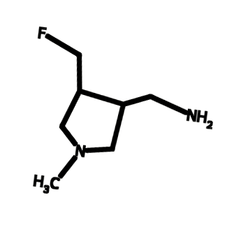 CN1CC(CN)C(CF)C1